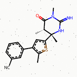 Cc1sc([C@@]2(C)NC(=N)N(C)C(=O)[C@H]2C)cc1-c1cccc(C#N)c1